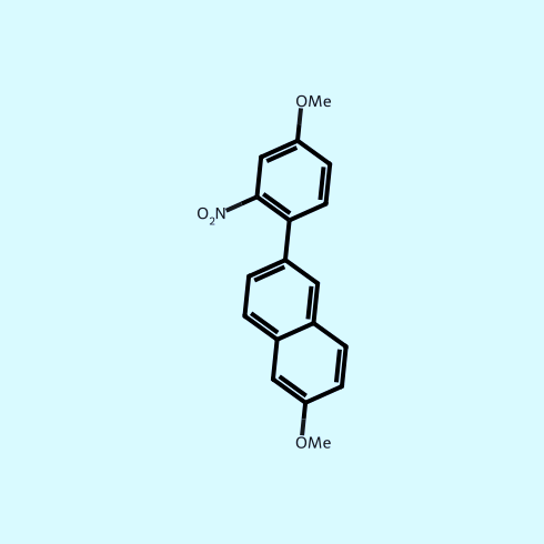 COc1ccc(-c2ccc3cc(OC)ccc3c2)c([N+](=O)[O-])c1